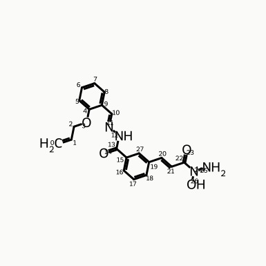 C=CCOc1ccccc1/C=N/NC(=O)c1cccc(/C=C/C(=O)N(N)O)c1